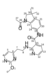 COc1nccc(CCNc2ncccc2C(=O)Nc2ccc3c(c2)N(C(C)=O)CC3(C)C)n1